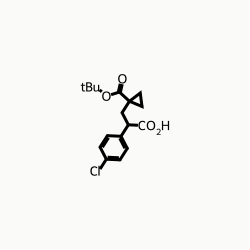 CC(C)(C)OC(=O)C1(CC(C(=O)O)c2ccc(Cl)cc2)CC1